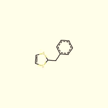 C1=CSC(Cc2ccccc2)S1